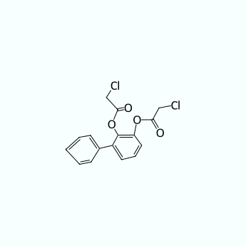 O=C(CCl)Oc1cccc(-c2ccccc2)c1OC(=O)CCl